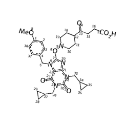 COc1ccc(Cn2c(ON3CCC(C(=O)CCC(=O)O)CC3)nc3c2c(=O)n(CC2CC2)c(=O)n3CC2CC2)cc1